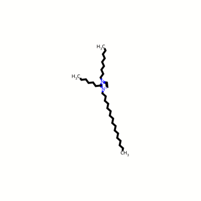 CCCCCCCCCCCCCCCCC[n+]1ccn(CCCCCCCCC)c1CCCCCC